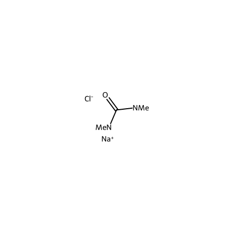 CNC(=O)NC.[Cl-].[Na+]